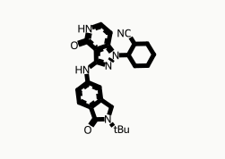 CC(C)(C)N1Cc2cc(Nc3nn(C4CCCCC4C#N)c4cc[nH]c(=O)c34)ccc2C1=O